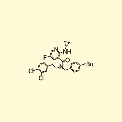 CC(C)(C)c1ccc(CN(CCc2ccc(Cl)c(Cl)c2)C(=O)c2cc(F)cnc2NC2CC2)cc1